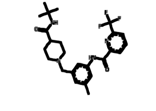 Cc1cc(CN2CCC(C(=O)NC(C)(C)C)CC2)cc(NC(=O)c2cccc(C(F)(F)F)n2)c1